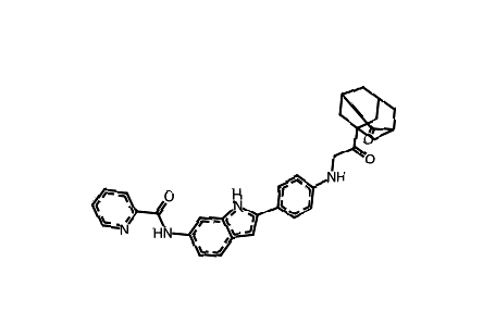 O=C(Nc1ccc2cc(-c3ccc(NCC(=O)C45CC6CC(C4)C(=O)C(C6)C5)cc3)[nH]c2c1)c1ccccn1